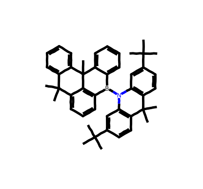 CC(C)(C)c1ccc2c(c1)N(B1c3ccccc3C3(C)c4ccccc4C(C)(C)c4cccc1c43)c1cc(C(C)(C)C)ccc1C2(C)C